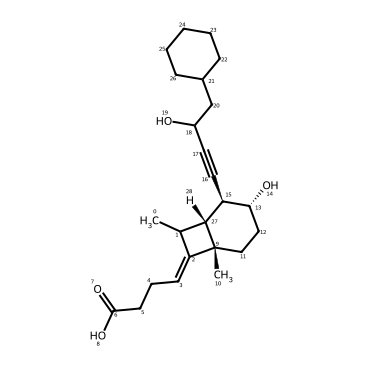 CC1C(=CCCC(=O)O)[C@@]2(C)CC[C@@H](O)[C@H](C#CC(O)CC3CCCCC3)[C@@H]12